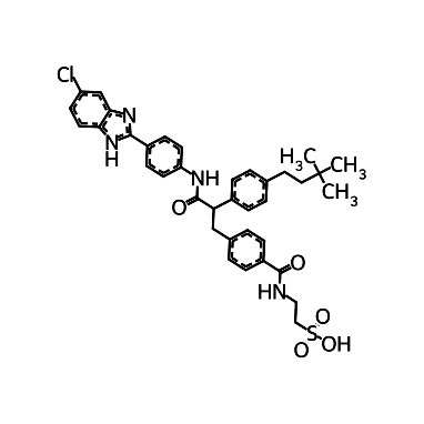 CC(C)(C)CCc1ccc(C(Cc2ccc(C(=O)NCCS(=O)(=O)O)cc2)C(=O)Nc2ccc(-c3nc4cc(Cl)ccc4[nH]3)cc2)cc1